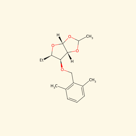 CC[C@H]1O[C@@H]2OC(C)O[C@@H]2[C@H]1OCc1c(C)cccc1C